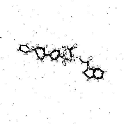 O=C(O)[C@H](CCC(=O)N1CCc2ccccc21)NS(=O)(=O)c1ccc(-c2ccc(N3CCCC3)cc2)cc1